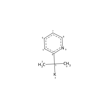 C[C](C)([K])c1ccccn1